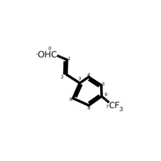 O=[C]/C=C/c1ccc(C(F)(F)F)cc1